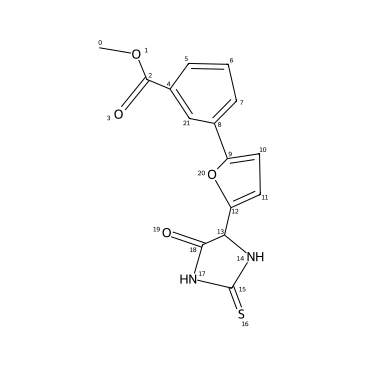 COC(=O)c1cccc(-c2ccc(C3NC(=S)NC3=O)o2)c1